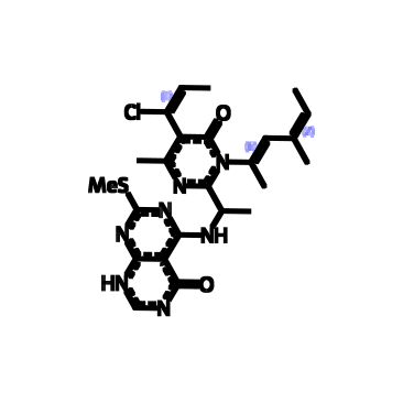 C/C=C(C)\C=C(/C)n1c(C(C)Nc2nc(SC)nc3[nH]cnc(=O)c23)nc(C)c(/C(Cl)=C\C)c1=O